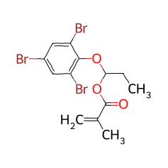 C=C(C)C(=O)OC(CC)Oc1c(Br)cc(Br)cc1Br